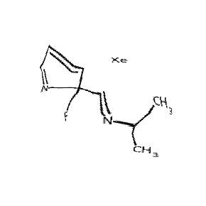 CC(C)N=CC1(F)C=CC=N1.[Xe]